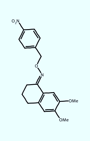 COc1cc2c(cc1OC)C(=NOCc1ccc([N+](=O)[O-])cc1)CCC2